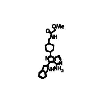 COCC(=O)NCC1CCC(c2nc(-c3cc4ccccc4[nH]3)c3c(N)nccn23)CC1